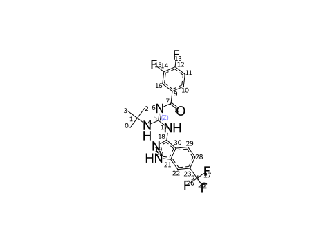 CC(C)(C)N/C(=N/C(=O)c1ccc(F)c(F)c1)Nc1n[nH]c2cc(C(F)(F)F)ccc12